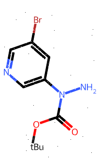 CC(C)(C)OC(=O)N(N)c1cncc(Br)c1